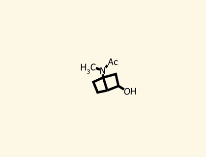 CC(=O)N(C)C12CCC1C(O)C2